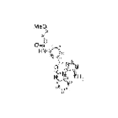 COCCOC(=O)Nc1cccc(COc2nc3ccccc3n2-c2nnnn2C)n1